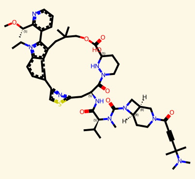 CCn1c(-c2cccnc2[C@H](C)OC)c2c3cc(ccc31)-c1csc(n1)C[C@H](NC(=O)[C@H](C(C)C)N(C)C(=O)N1C[C@H]3CN(C(=O)C#CC(C)(C)N(C)C)CC[C@H]31)C(=O)N1CCC[C@@](O)(N1)C(=O)OCC(C)(C)C2